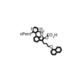 CCCCCc1nccc(C)c1-c1cccc2c(CCCOc3cccc4ccccc34)c(OC(=O)O)[nH]c12